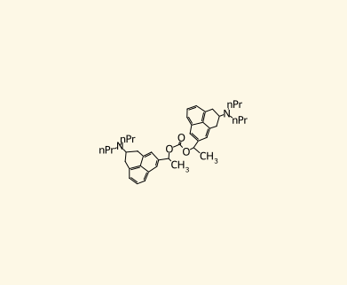 CCCN(CCC)C1Cc2cccc3cc(C(C)OC(=O)OC(C)c4cc5c6c(cccc6c4)CC(N(CCC)CCC)C5)cc(c23)C1